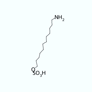 NCCCCCCCCCCCCOS(=O)(=O)O